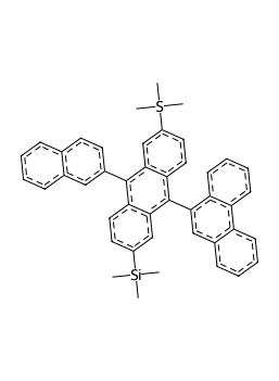 C[Si](C)(C)c1ccc2c(-c3ccc4ccccc4c3)c3cc(S(C)(C)C)ccc3c(-c3cc4ccccc4c4ccccc34)c2c1